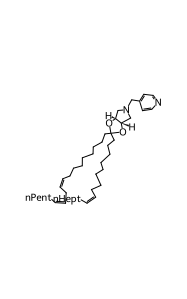 CCCCC/C=C\C/C=C\CCCCCCCCC1(CCCCCCCC/C=C\CCCCCCC)O[C@H]2CN(Cc3ccncc3)C[C@H]2O1